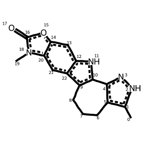 Cc1[nH]nc2c1CCCc1c-2[nH]c2cc3oc(=O)n(C)c3cc12